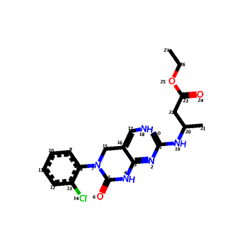 C=C(/N=C1/NC(=O)N(c2ccccc2Cl)C/C1=C/N)NC(C)CC(=O)OCC